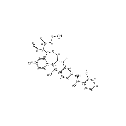 COc1cc(NC(=O)c2ccccc2Cl)ccc1C(=O)N1CCCC(C(C=O)N(C)CCO)c2cc(Cl)ccc21